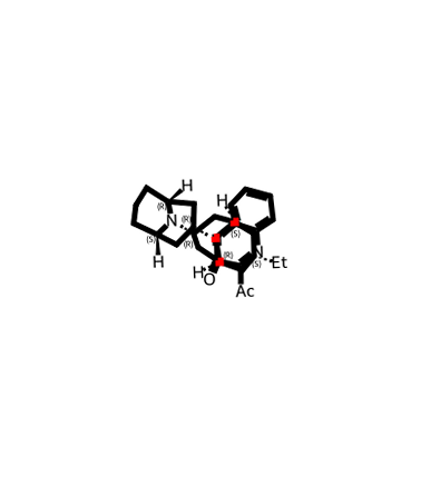 CC[C@@H]1C[C@@H]2C[C@H](C1)C[C@@H](N1[C@@H]3CCC[C@H]1C[C@@H](n1c(=O)c(C(C)=O)nc4ccccc41)C3)C2